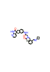 CC(C)(C)C(=O)N(CC(=O)Nc1ccc2c(c1)CC1(C2)C(=O)Nc2ncccc21)Cc1ccccc1C=NC1CCC1